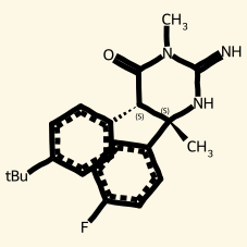 CN1C(=N)N[C@](C)(c2ccc(F)cc2)[C@H](c2ccc(C(C)(C)C)cc2)C1=O